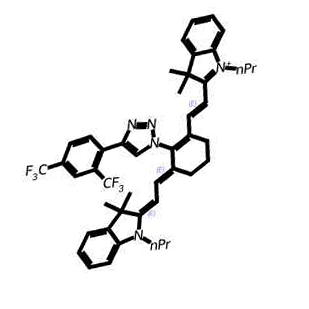 CCCN1/C(=C/C=C2\CCCC(/C=C/C3=[N+](CCC)c4ccccc4C3(C)C)=C2n2cc(-c3ccc(C(F)(F)F)cc3C(F)(F)F)nn2)C(C)(C)c2ccccc21